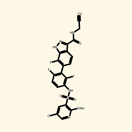 C#CCNC(=O)c1n[nH]c2c(F)c(-c3c(F)ccc(NS(=O)(=O)c4cc(Cl)cnc4OC)c3F)ccc12